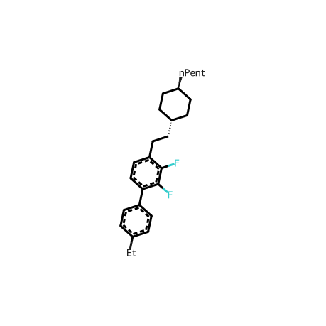 CCCCC[C@H]1CC[C@H](CCc2ccc(-c3ccc(CC)cc3)c(F)c2F)CC1